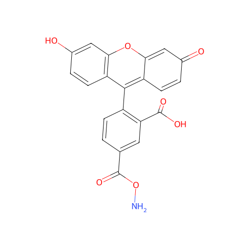 NOC(=O)c1ccc(-c2c3ccc(=O)cc-3oc3cc(O)ccc23)c(C(=O)O)c1